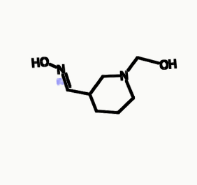 OCN1CCCC(/C=N/O)C1